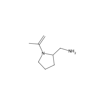 C=C(C)N1CCCC1CN